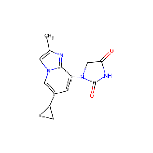 Cc1cn2cc(C3CC3)cc(N3CC(=O)NC3=O)c2n1